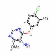 CCc1cc(Oc2ncnc(OC)c2N)ccc1Cl